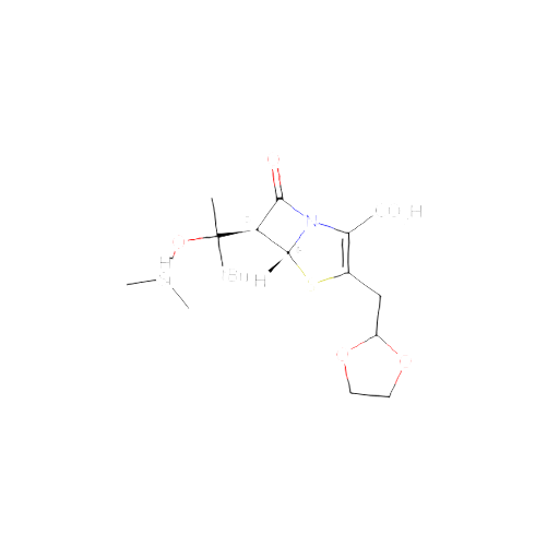 C[SiH](C)OC(C)([C@H]1C(=O)N2C(C(=O)O)=C(CC3OCCO3)S[C@H]12)C(C)(C)C